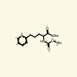 CNC(=O)C(CCCc1ccccn1)NC(=O)OC(C)(C)C